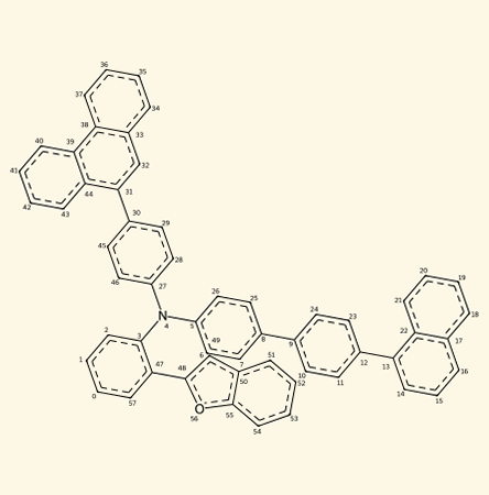 c1ccc(N(c2ccc(-c3ccc(-c4cccc5ccccc45)cc3)cc2)c2ccc(-c3cc4ccccc4c4ccccc34)cc2)c(-c2cc3ccccc3o2)c1